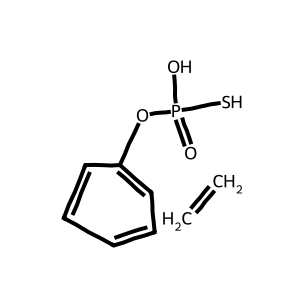 C=C.O=P(O)(S)Oc1ccccc1